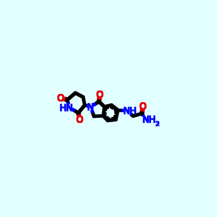 NC(=O)CNc1ccc2c(c1)C(=O)N(C1CCC(=O)NC1=O)C2